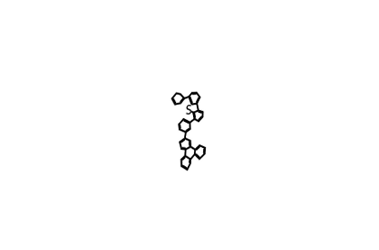 C1=CCCC(c2cccc3c2sc2c(-c4cccc(-c5ccc6c7ccccc7c7ccccc7c6c5)c4)cccc23)=C1